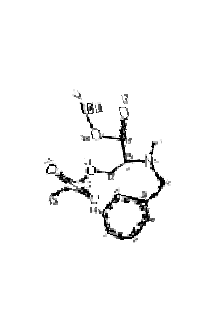 CN(Cc1ccccc1)[C@@H](COS(C)(=O)=O)C(=O)OC(C)(C)C